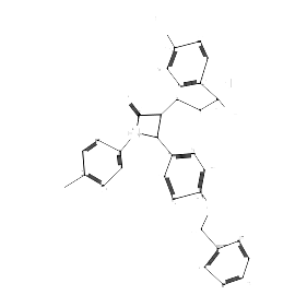 [2H][C@](O)(CCC1C(=O)N(c2ccc(F)cc2)C1c1ccc(OCc2ccccc2)cc1)c1ccc(F)cc1